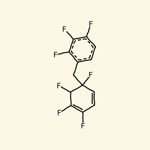 FC1=C(F)C(F)C(F)(Cc2ccc(F)c(F)c2F)C=C1